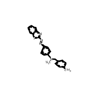 Cc1ccc(CN(C)c2ccc(N=Nc3nc4ccccc4s3)cc2)cc1